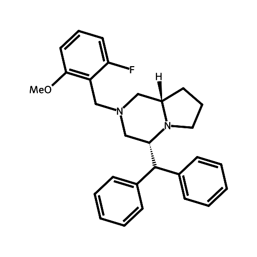 COc1cccc(F)c1CN1C[C@@H]2CCCN2[C@H](C(c2ccccc2)c2ccccc2)C1